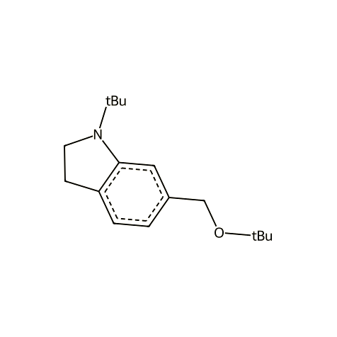 CC(C)(C)OCc1ccc2c(c1)N(C(C)(C)C)CC2